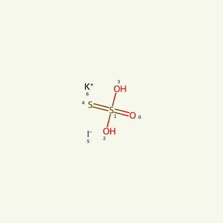 O=S(O)(O)=S.[I-].[K+]